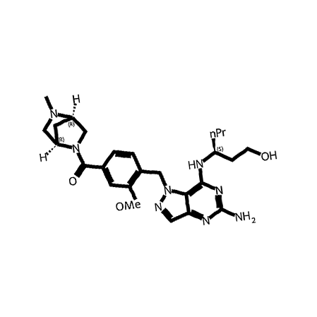 CCC[C@@H](CCO)Nc1nc(N)nc2cnn(Cc3ccc(C(=O)N4C[C@H]5C[C@@H]4CN5C)cc3OC)c12